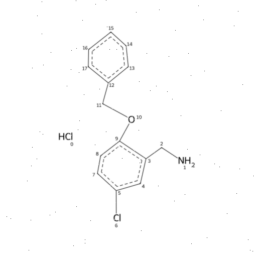 Cl.NCc1cc(Cl)ccc1OCc1ccccc1